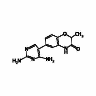 CC1Oc2ccc(-c3cnc(N)nc3N)cc2NC1=O